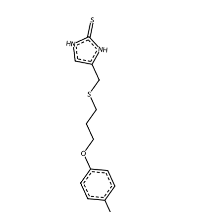 Fc1ccc(OCCCSCc2c[nH]c(=S)[nH]2)cc1